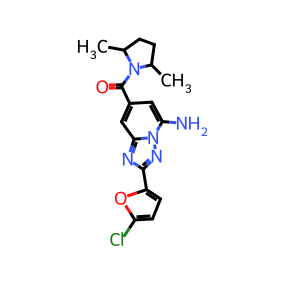 CC1CCC(C)N1C(=O)c1cc(N)n2nc(-c3ccc(Cl)o3)nc2c1